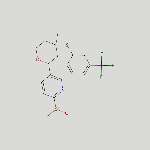 C[S+]([O-])c1ccc(C2CC(C)(Sc3cccc(C(F)(F)F)c3)CCO2)cn1